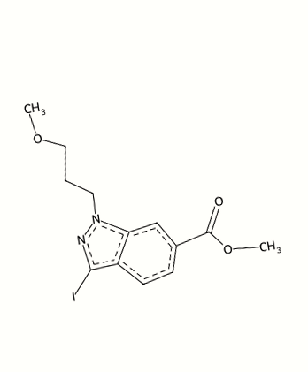 COCCCn1nc(I)c2ccc(C(=O)OC)cc21